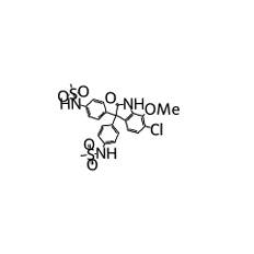 COc1c(Cl)ccc2c1NC(=O)C2(c1ccc(NS(C)(=O)=O)cc1)c1ccc(NS(C)(=O)=O)cc1